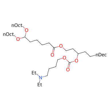 CCCCCCCCCCCCC(CCOC(=O)CCCCC(OCCCCCCCC)OCCCCCCCC)OC(=O)OCCCCN(CC)CC